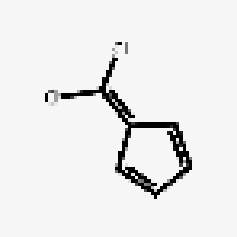 ClC(Cl)=C1C=CC=C1